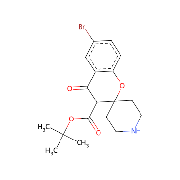 CC(C)(C)OC(=O)C1C(=O)c2cc(Br)ccc2OC12CCNCC2